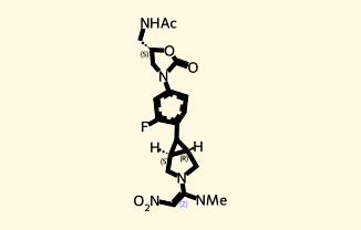 CN/C(=C/[N+](=O)[O-])N1C[C@@H]2C(c3ccc(N4C[C@H](CNC(C)=O)OC4=O)cc3F)[C@@H]2C1